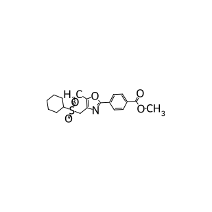 COC(=O)c1ccc(-c2nc(CS(=O)(=O)C3CCCCC3)c(C)o2)cc1